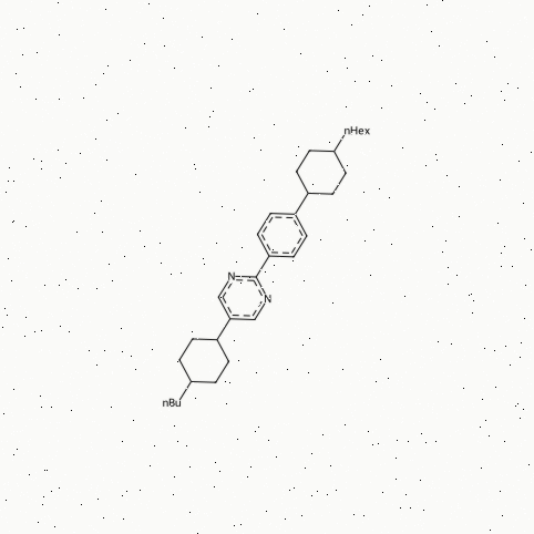 CCCCCCC1CCC(c2ccc(-c3ncc(C4CCC(CCCC)CC4)cn3)cc2)CC1